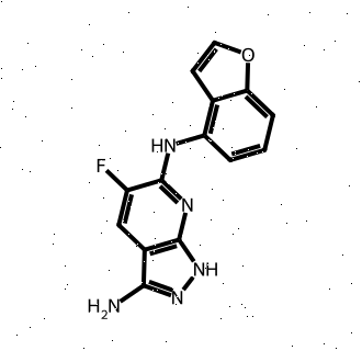 Nc1n[nH]c2nc(Nc3cccc4occc34)c(F)cc12